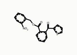 O=C(OCc1ccccc1[N+](=O)[O-])c1ccccc1C(=O)c1cccs1